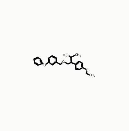 CCOc1ccc(C(COCc2cccc(Oc3ccccc3)c2)C(C)C)cc1